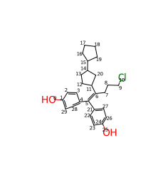 Oc1ccc(C(=C(CCCCl)C2CCC(C3CCCC3)C2)c2ccc(O)cc2)cc1